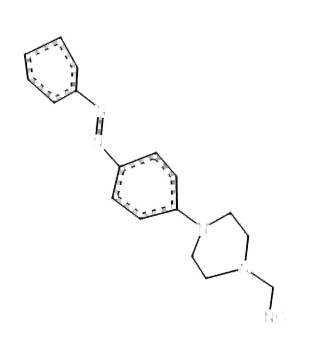 O=NCN1CCN(c2ccc(/N=N/c3ccccc3)cc2)CC1